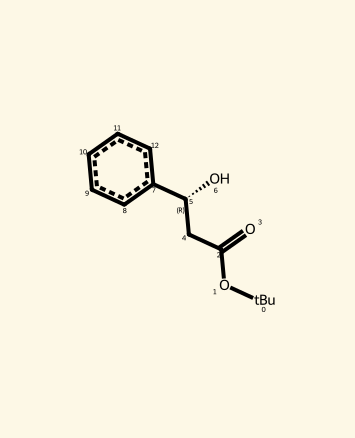 CC(C)(C)OC(=O)C[C@@H](O)c1ccccc1